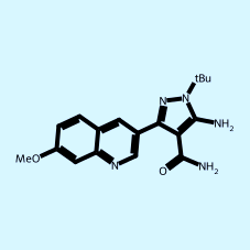 COc1ccc2cc(-c3nn(C(C)(C)C)c(N)c3C(N)=O)cnc2c1